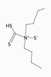 CCCC[N+]([S-])(CCCC)C(=S)S